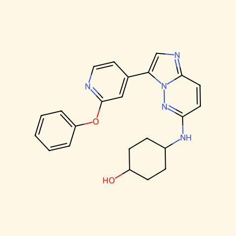 OC1CCC(Nc2ccc3ncc(-c4ccnc(Oc5ccccc5)c4)n3n2)CC1